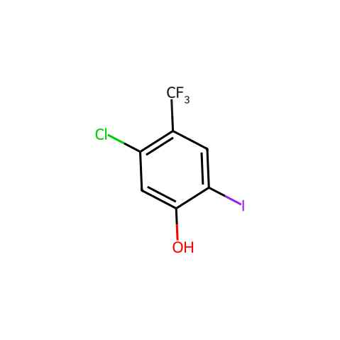 Oc1cc(Cl)c(C(F)(F)F)cc1I